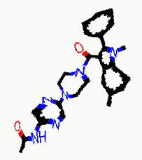 CC(=O)Nc1cnc(N2CCN(C(=O)c3c(-c4ccccc4)n(C)c4ccc(C)cc34)CC2)cn1